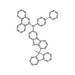 CC1(c2cccc3c2oc2ccc(N(c4ccc(-c5ccccc5)cc4)c4cc5ccccc5c5ccccc45)cc23)c2ccccc2-c2ccccc21